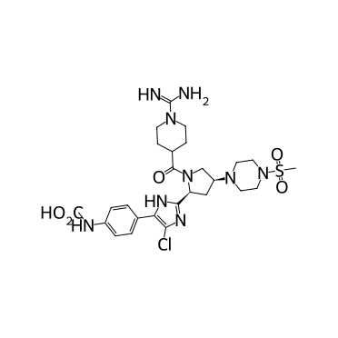 CS(=O)(=O)N1CCN([C@H]2C[C@@H](c3nc(Cl)c(-c4ccc(NC(=O)O)cc4)[nH]3)N(C(=O)C3CCN(C(=N)N)CC3)C2)CC1